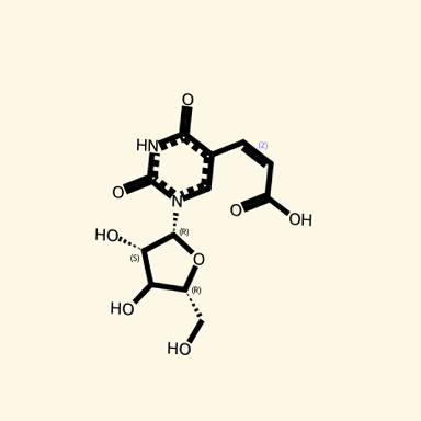 O=C(O)/C=C\c1cn([C@@H]2O[C@H](CO)C(O)[C@@H]2O)c(=O)[nH]c1=O